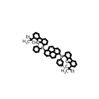 CCC(C)(C)c1cccc2c1oc1c(N(c3ccccc3)c3ccc4ccc5c(N(c6ccccc6)c6cccc7c6oc6c(C(C)(C)CC)cccc67)ccc6ccc3c4c65)cccc12